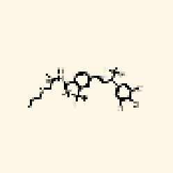 CCCSC[C@@H](C)NC(=O)c1ccc(/C=C/C(c2cc(Cl)c(Cl)c(Cl)c2)C(F)(F)F)cc1C(F)(F)F